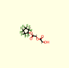 O=C(CO)OCC(=O)OC1(F)C(F)(F)C(F)(F)C(F)(F)C1(F)F